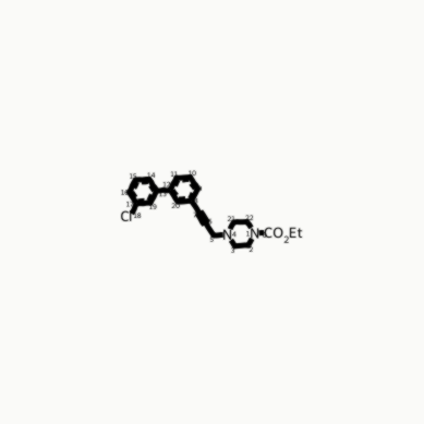 CCOC(=O)N1CCN(CC#Cc2cccc(-c3cccc(Cl)c3)c2)CC1